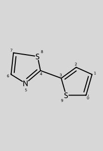 [c]1ccc(-c2nccs2)s1